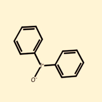 [O-][I+](c1ccccc1)c1ccccc1